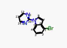 Brc1cccc2c1ccn2-c1ncccn1